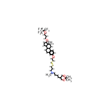 CN(CCCCC1COC(C)(C)OC1)CCCSSCCOc1ccc2c(c1)CCC1C2CC[C@@]2(C)C1CC[C@@H]2OCCCOC(C(F)(F)F)(C(F)(F)F)C(F)(F)F